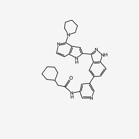 O=C(CC1CCCCC1)Nc1cncc(-c2ccc3[nH]nc(-c4cc5c(N6CCCCC6)nccc5[nH]4)c3c2)c1